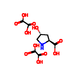 O=C(O)C(=O)O.O=C(O)C(=O)O.O=C(O)[C@@H]1C[C@@H](O)CN1